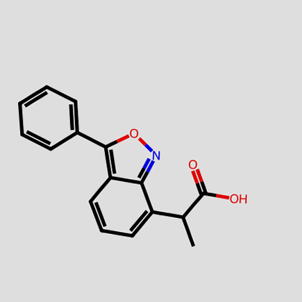 CC(C(=O)O)c1cccc2c(-c3ccccc3)onc12